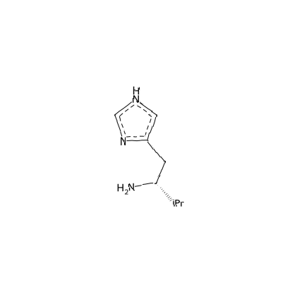 CC(C)[C@H](N)Cc1c[nH]cn1